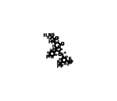 C[C@@H](O[C@H]1CN2C(=O)CC(NC(=O)C(C)(C)N)C[C@H]2C1c1ccc(F)cc1)c1cc(C(F)(F)F)cc(C(F)(F)F)c1